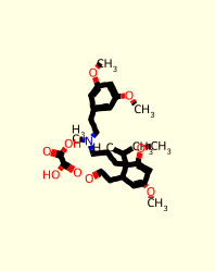 COC1=CC(CC=O)C(CCCN(C)CCc2cc(OC)cc(OC)c2)(C(C)C)C(OC)=C1.O=C(O)C(=O)O